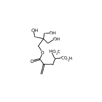 C=C(CC(C(=O)O)C(=O)O)C(=O)OCC(CO)(CO)CO